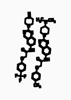 Cc1ccc(OCC(=O)Nc2ccc3nc(N4CCC(N(C)C)CC4)ncc3c2)cc1.O=C(COc1ccc(C(F)(F)F)cc1)Nc1ccc2nc(N3CCNCC3)ncc2c1